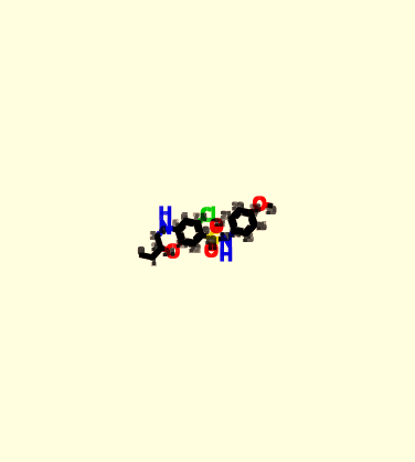 CCC1CNc2cc(Cl)c(S(=O)(=O)Nc3ccc(OC)cc3)cc2O1